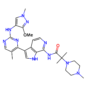 COc1nn(C)cc1Nc1ncc(C)c(-c2c[nH]c3c(NC(=O)C(C)(C)N4CCN(C)CC4)nccc23)n1